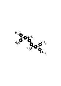 C=C(c1ccc(-c2ccc(C(=C)c3ccc(N(c4ccc(C)cc4)c4ccc(C)cc4)cc3)cc2)cc1)c1ccc(N(c2ccc(C)cc2)c2ccc(C)cc2)cc1